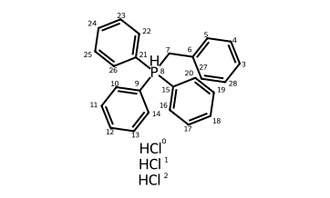 Cl.Cl.Cl.c1ccc(C[PH](c2ccccc2)(c2ccccc2)c2ccccc2)cc1